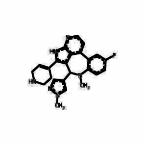 CN1c2ccc(F)cc2-c2ccnc3[nH]c(C4=CCNCC4)c(c23)C1c1cnn(C)c1